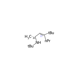 CCC/C(=C\[C@@H](C)NC(C)(C)C)C(C)(C)C